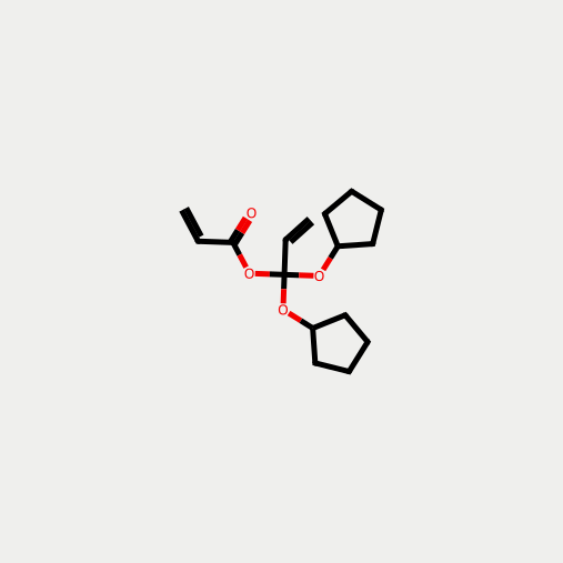 C=CC(=O)OC(C=C)(OC1CCCC1)OC1CCCC1